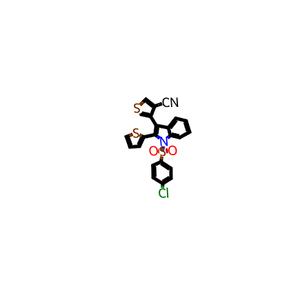 N#Cc1cscc1-c1c(-c2cccs2)n(S(=O)(=O)c2ccc(Cl)cc2)c2ccccc12